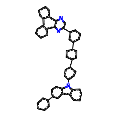 c1ccc(-c2ccc3c(c2)c2ccccc2n3-c2ccc(-c3ccc(-c4cccc(-c5cnc6c7ccccc7c7ccccc7c6n5)c4)cc3)cc2)cc1